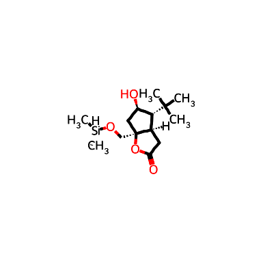 C[SiH](C)OC[C@]12C[C@@H](O)[C@H](C(C)(C)C)[C@H]1CC(=O)O2